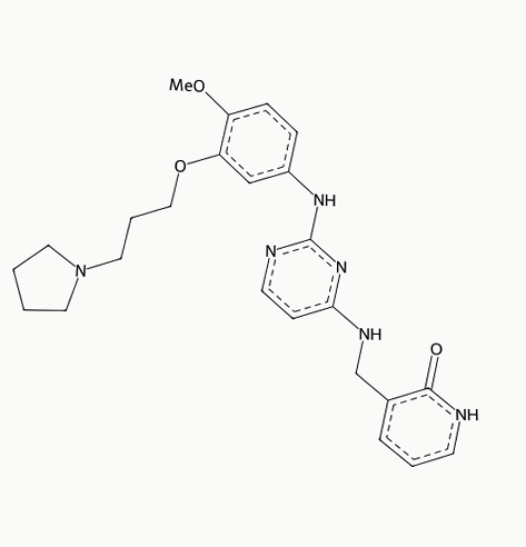 COc1ccc(Nc2nccc(NCc3ccc[nH]c3=O)n2)cc1OCCCN1CCCC1